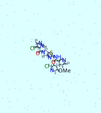 COc1cnc(Cl)cc1-c1cc(C)ncc1C(=O)Nc1nc2c(s1)CN(C(=O)c1c(Cl)c(C)nn1C)C2